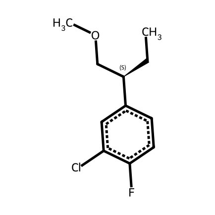 CC[C@H](COC)c1ccc(F)c(Cl)c1